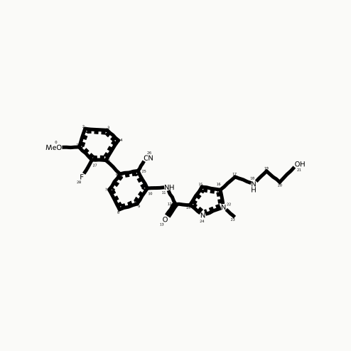 COc1cccc(-c2cccc(NC(=O)c3cc(CNCCO)n(C)n3)c2C#N)c1F